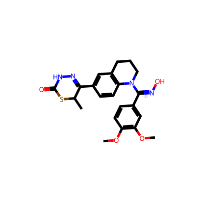 COc1ccc(/C(=N/O)N2CCCc3cc(C4=NNC(=O)SC4C)ccc32)cc1OC